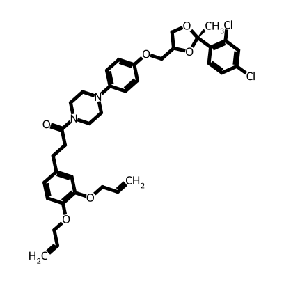 C=CCOc1ccc(CCC(=O)N2CCN(c3ccc(OCC4CO[C@](C)(c5ccc(Cl)cc5Cl)O4)cc3)CC2)cc1OCC=C